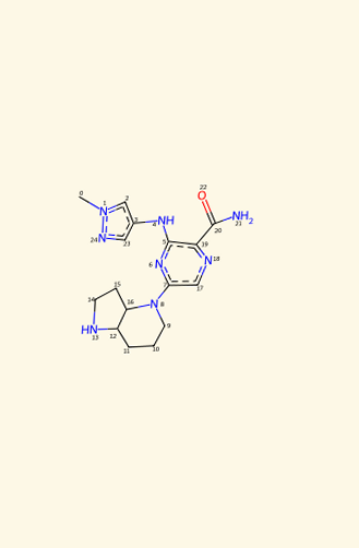 Cn1cc(Nc2nc(N3CCCC4NCCC43)cnc2C(N)=O)cn1